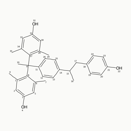 Cc1cc(O)cc(C)c1C(C)(c1ccc(C(C)Cc2ccc(O)cc2)cc1)c1c(C)cc(O)cc1C